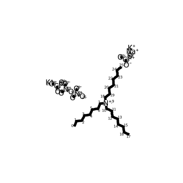 CCCCCCCC[N+](C)(CCCCCCCC)CCCCCCCC.O=[N+]([O-])[O-].O=[N+]([O-])[O-].[K+].[K+].[Na+].[O-][Cl+2]([O-])[O-].[O-][Cl+2]([O-])[O-]